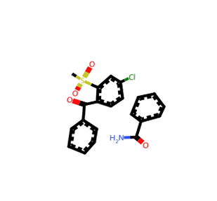 CS(=O)(=O)c1cc(Cl)ccc1C(=O)c1ccccc1.NC(=O)c1ccccc1